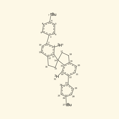 [2H]c1c(-c2ccc(C(C)(C)C)cc2)ccc2c1C1(CC2)CCc2ccc(-c3ccc(C(C)(C)C)cc3)c([2H])c21